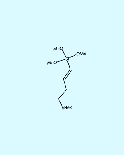 CCCCCCCCC=C[Si](OC)(OC)OC